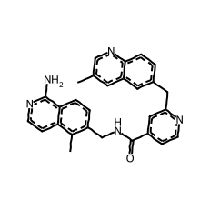 Cc1cnc2ccc(Cc3cc(C(=O)NCc4ccc5c(N)nccc5c4C)ccn3)cc2c1